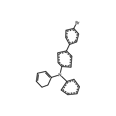 Brc1ccc(-c2ccc(N(C3=CC=CCC3)c3ccccc3)cc2)cc1